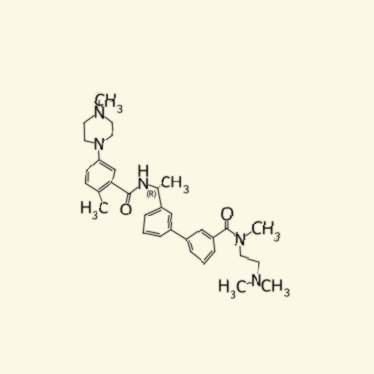 Cc1ccc(N2CCN(C)CC2)cc1C(=O)N[C@H](C)c1cccc(-c2cccc(C(=O)N(C)CCN(C)C)c2)c1